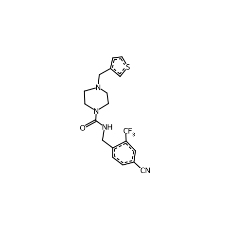 N#Cc1ccc(CNC(=O)N2CCN(Cc3ccsc3)CC2)c(C(F)(F)F)c1